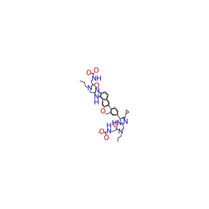 CCCN(Cc1nc(C2CC2)c(-c2ccc3c(c2)COc2cc4c(ccc5nc(CN(CCC)C(=O)CNC(=O)OC)[nH]c54)cc2-3)[nH]1)C(=O)CNC(=O)OC